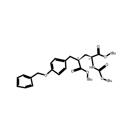 CC(C)(C)OC(=O)N[C@@H](C[C@H](Cc1ccc(OCc2ccccc2)cc1)C(=O)OC(C)(C)C)C(=O)OC(C)(C)C